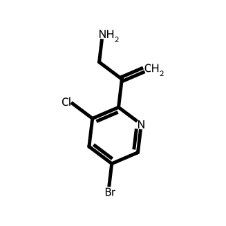 C=C(CN)c1ncc(Br)cc1Cl